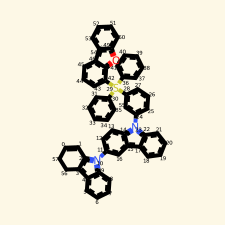 C1=Cc2c(c3ccccc3n2-c2ccc3c(c2)c2ccccc2n3-c2cccc(S(c3ccccc3)(c3ccccc3)c3cccc4c3oc3ccccc34)c2)CC1